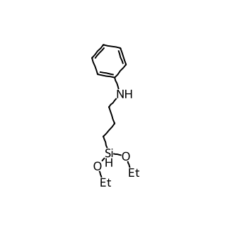 CCO[SiH](CCCNc1ccccc1)OCC